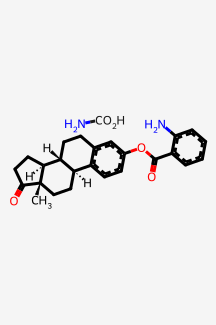 C[C@]12CC[C@@H]3c4ccc(OC(=O)c5ccccc5N)cc4CC[C@H]3[C@@H]1CCC2=O.NC(=O)O